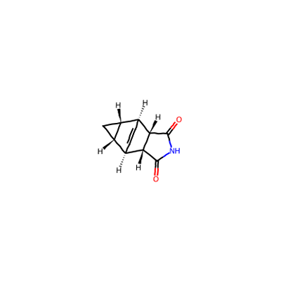 O=C1NC(=O)[C@H]2[C@H]3C=C[C@H]([C@@H]4C[C@H]34)[C@@H]12